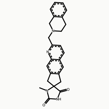 CN1C(=O)NC(=O)C12Cc1cc3ccc(CN4CCc5ccccc5C4)nc3cc1C2